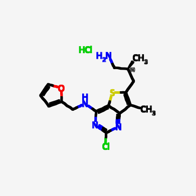 Cc1c(C[C@H](C)CN)sc2c(NCc3ccco3)nc(Cl)nc12.Cl